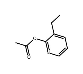 CCc1cccnc1OC(C)=O